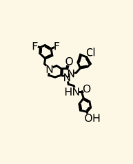 O=C(NCCn1c2c(c(=O)n1Cc1ccc(Cl)cc1)CN(Cc1cc(F)cc(F)c1)CC2)c1ccc(O)cc1